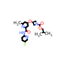 Cc1cc(OC2CN(C(=O)OCC(C)C)C2)cc(C(=O)Nc2ccc(F)cn2)n1